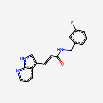 O=C(C=Cc1c[nH]c2ncccc12)NCc1cccc(F)c1